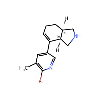 Cc1cc(C2=CCC[C@H]3CNC[C@@H]23)cnc1Br